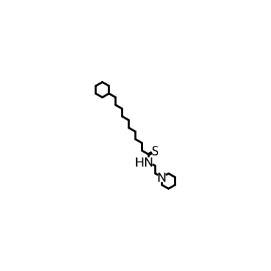 S=C(CCCCCCCCCCC1CCCCC1)NCCN1CCCCC1